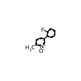 Cc1ccc(-c2ccccc2F)c[n+]1[O-]